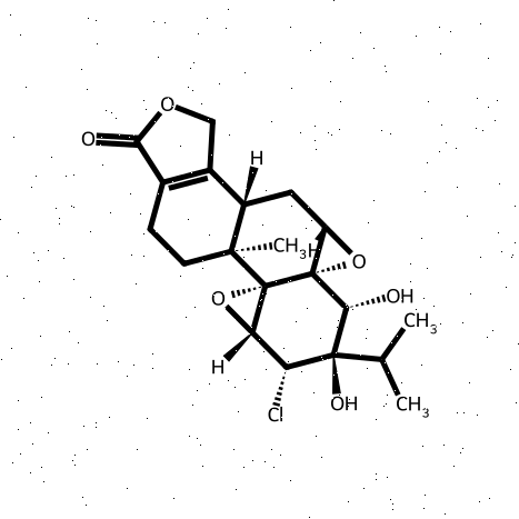 CC(C)[C@]1(O)[C@H](Cl)[C@@H]2O[C@]23[C@]2(O[C@H]2C[C@H]2C4=C(CC[C@@]23C)C(=O)OC4)[C@@H]1O